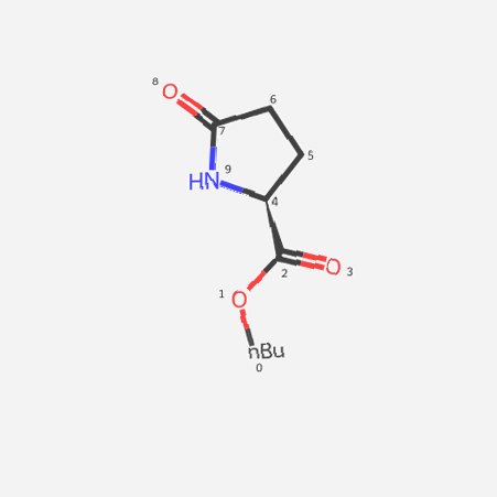 CCCCOC(=O)[C@@H]1CCC(=O)N1